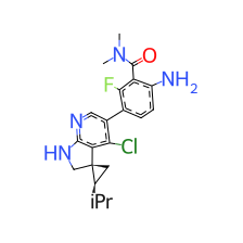 CC(C)[C@@H]1C[C@]12CNc1ncc(-c3ccc(N)c(C(=O)N(C)C)c3F)c(Cl)c12